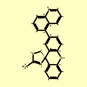 NC1=N[C@]2(CO1)c1ccccc1Oc1ccc(-c3cccc4ncccc34)cc12